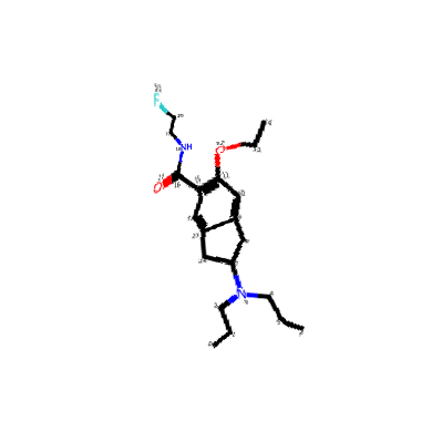 CCCN(CCC)C1Cc2cc(OCC)c(C(=O)NCCF)cc2C1